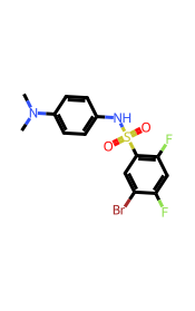 CN(C)c1ccc(NS(=O)(=O)c2cc(Br)c(F)cc2F)cc1